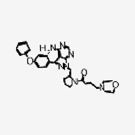 Nc1ncnc2c1c(-c1ccc(Oc3ccccc3)cc1)nn2CC1CCCN1C(=O)C=CCN1CCOCC1